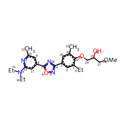 CCc1cc(-c2noc(-c3cc(C)nc(N(CC)CC)c3)n2)cc(C)c1OC[C@@H](O)COC